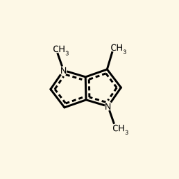 Cc1cn(C)c2ccn(C)c12